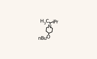 CCCCOC1CCN(C(C)C(C)C)CC1